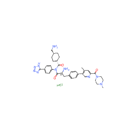 Cc1cc(C(=O)N2CCN(C)CC2)ncc1-c1ccc(C[C@H](N)C(=O)N(c2ccc(-c3nnn[nH]3)cc2)C(=O)[C@H]2CC[C@H](CN)CC2)cc1.Cl